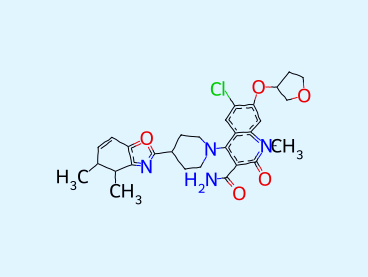 CC1C=Cc2oc(C3CCN(c4c(C(N)=O)c(=O)n(C)c5cc(OC6CCOC6)c(Cl)cc45)CC3)nc2C1C